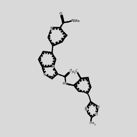 CNC(=O)c1ccc(-c2ccc3ncc(C(=O)Nc4cc(-c5noc(C)n5)ccc4C)n3c2)cn1